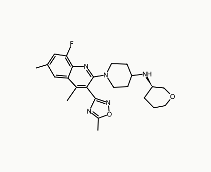 Cc1cc(F)c2nc(N3CCC(N[C@@H]4CCCOC4)CC3)c(-c3noc(C)n3)c(C)c2c1